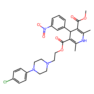 COC(=O)C1=C(C)NC(C)=C(C(=O)OCCN2CCN(c3ccc(Cl)cc3)CC2)C1c1cccc([N+](=O)[O-])c1